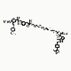 COc1cnc(C(=O)NCc2cccc(CC(=O)NCCOCCOCCOCCOCCOCC(=O)NC(C(=O)C3CCC[C@H]3C(=O)NCc3ccc(-c4scnc4C)cc3)C(C)(C)C)c2)cc1/C=C/[C@H]1CC[C@H](C(F)(F)F)CC1